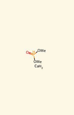 CO[PH](=O)OC.[CaH2]